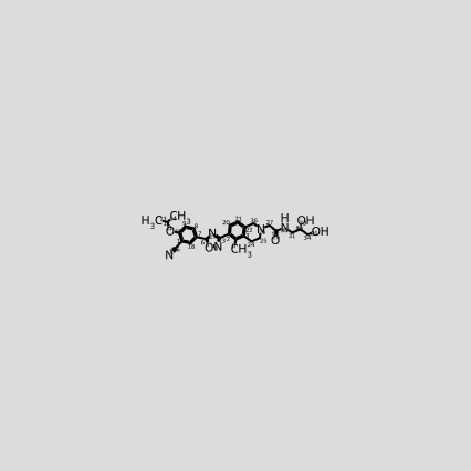 Cc1c(-c2noc(-c3ccc(OC(C)C)c(C#N)c3)n2)ccc2c1CCN(CC(=O)NC[C@H](O)CO)C2